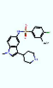 COc1cc(S(=O)(=O)Nc2ccc3c(c2)c(C2CCNCC2)cn3C)ccc1F